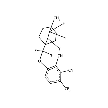 CC12CCC(C(F)(F)Oc3ccc(C(F)(F)F)c(C#N)c3C#N)(CC1)C(F)C2(F)F